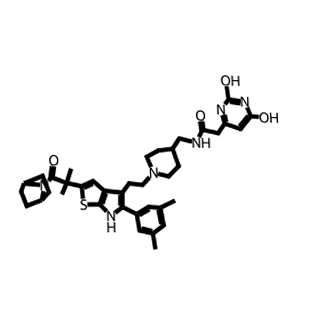 Cc1cc(C)cc(-c2[nH]c3sc(C(C)(C)C(=O)N4C5CCC4CC5)cc3c2CCN2CCC(CNC(=O)Cc3cc(O)nc(O)n3)CC2)c1